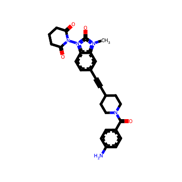 Cn1c(=O)n(N2C(=O)CCCC2=O)c2ccc(C#CC3CCN(C(=O)c4ccc(N)cc4)CC3)cc21